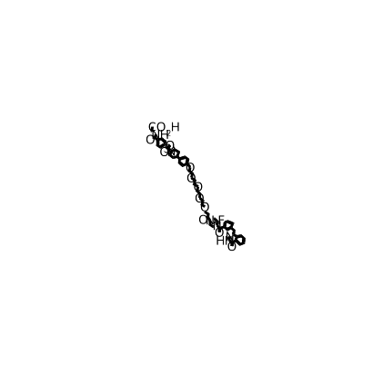 O=C(O)CNC(=O)c1ccc(S(=O)(=O)N2CCC(c3ccc(OCCOCCOCCOCCOCCC(=O)N4CCN(C(=O)c5cc(Cc6n[nH]c(=O)c7ccccc67)ccc5F)CC4)cc3)CC2)cc1